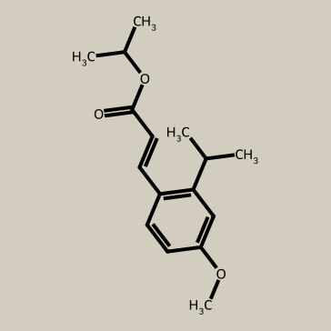 COc1ccc(C=CC(=O)OC(C)C)c(C(C)C)c1